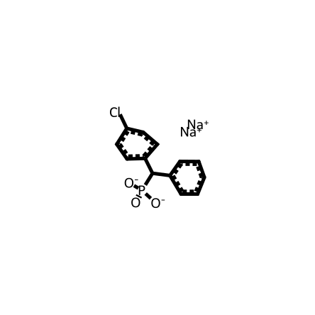 O=P([O-])([O-])C(c1ccccc1)c1ccc(Cl)cc1.[Na+].[Na+]